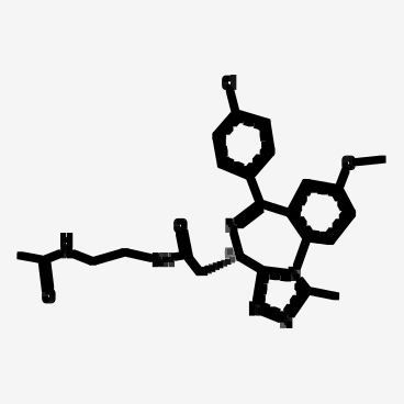 COc1ccc2c(c1)C(c1ccc(Cl)cc1)=N[C@@H](CC(=O)NCCNC(C)=O)c1nnc(C)n1-2